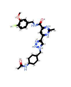 COc1cc(CNC(=O)c2cc(-c3cn(CC4CCC(NC(C)=O)CC4)nn3)nc(C)n2)ccc1F